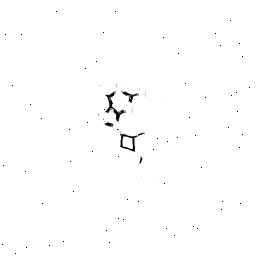 CCCCOC[C@H]1C[C@@H](n2cnc3c(OCCCC)nc(N)nc32)C1F